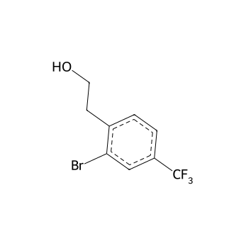 OCCc1ccc(C(F)(F)F)cc1Br